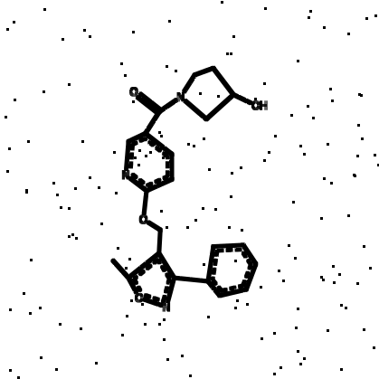 Cc1onc(-c2ccccc2)c1COc1ccc(C(=O)N2CCC(O)C2)cn1